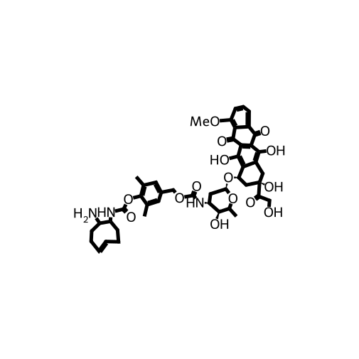 COc1cccc2c1C(=O)c1c(O)c3c(c(O)c1C2=O)C[C@@](O)(C(=O)CO)C[C@@H]3O[C@H]1C[C@@H](NC(=O)OCc2cc(C)c(OC(=O)NC3CC/C=C/CCC3N)c(C)c2)[C@H](O)C(C)O1